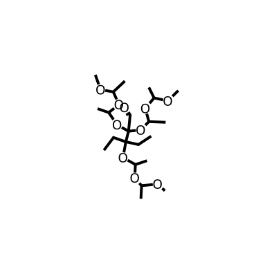 CCC(CC)(OC(C)OC(C)OC)C(C=O)(OC(C)OC(C)OC)OC(C)OC(C)OC